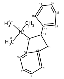 C[N+](C)(C)C1c2ccccc2CC1c1ccccc1